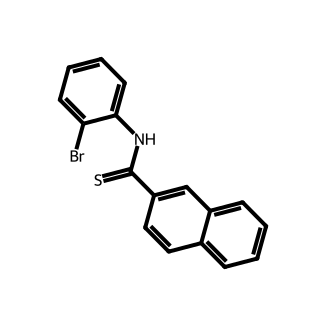 S=C(Nc1ccccc1Br)c1ccc2ccccc2c1